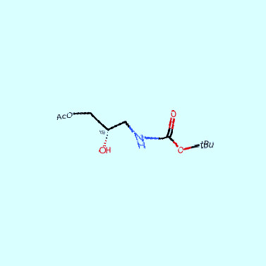 CC(=O)OC[C@@H](O)CNC(=O)OC(C)(C)C